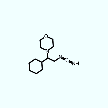 N=C=NCC(C1CCCCC1)N1CCOCC1